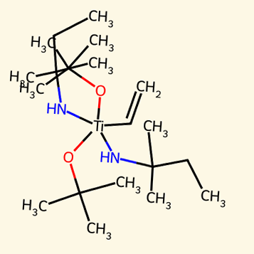 C=[CH][Ti]([NH]C(C)(C)CC)([NH]C(C)(C)CC)([O]C(C)(C)C)[O]C(C)(C)C